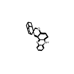 C1=c2c(ccc3c2=Nc2ccccc2N3)OCC12C1CC3CC(C1)CC2C3